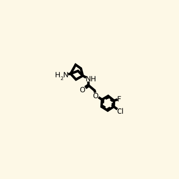 NC12CCC(NC(=O)COc3ccc(Cl)c(F)c3)(C1)C2